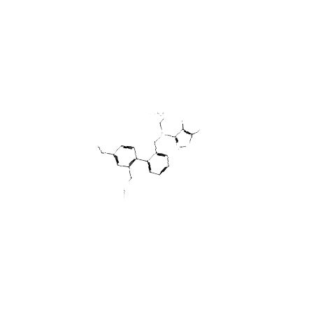 CCOCc1cc(CO)ccc1-c1ccccc1CN(COC)c1noc(C)c1C